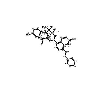 CC(C)(C)[Si](C)(C)OC(CN(CCc1ccc(O)cc1)C(=O)O)c1ccc(OCc2ccccc2)c2[nH]c(=O)ccc12